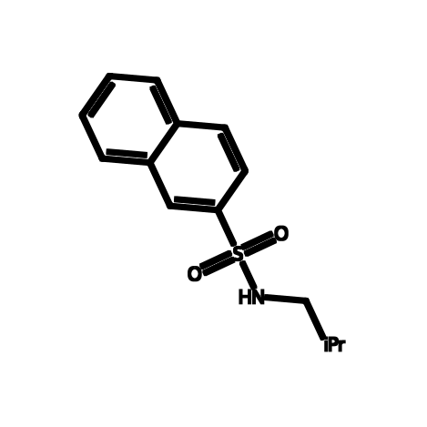 CC(C)CNS(=O)(=O)c1ccc2ccccc2c1